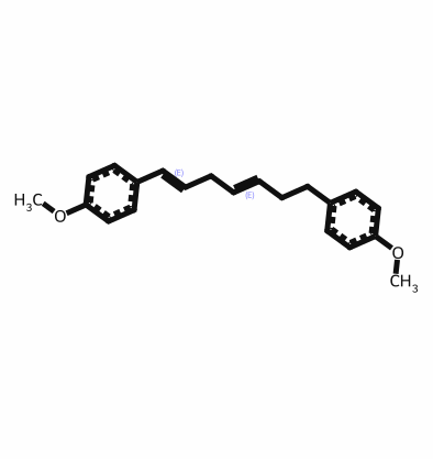 COc1ccc(/C=C/C/C=C/CCc2ccc(OC)cc2)cc1